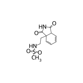 CS(=O)(=O)NCCC12C=CC=CC1C(=O)NC2=O